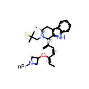 C=C(/C=C\C(=C/C)OC1CN(CCC)C1)[C@@H]1c2[nH]c3ccccc3c2C[C@@H](C)N1CC(C)(C)F